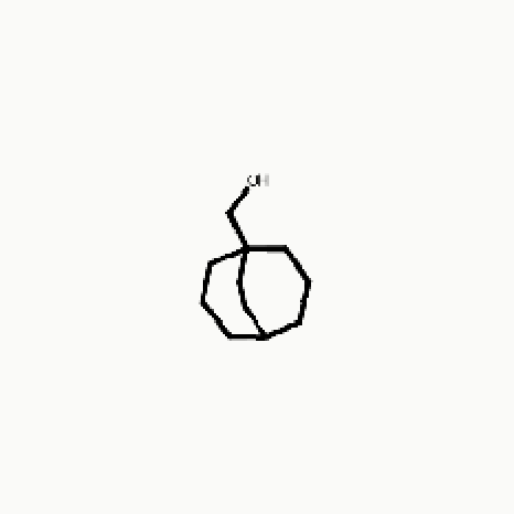 OCC12CCCC(CCC1)CC2